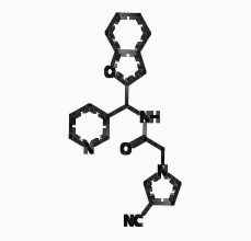 N#Cc1ccn(CC(=O)NC(c2cccnc2)c2cc3ccccc3o2)c1